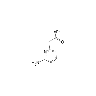 CCCC(=O)Cc1cccc(N)n1